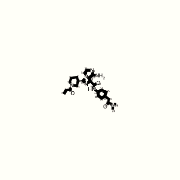 C=CC(=O)N1CCC[C@@H](c2nc(C(=O)Nc3ccc(CC(=O)N(C)C)cc3)c3c(N)nccn23)C1